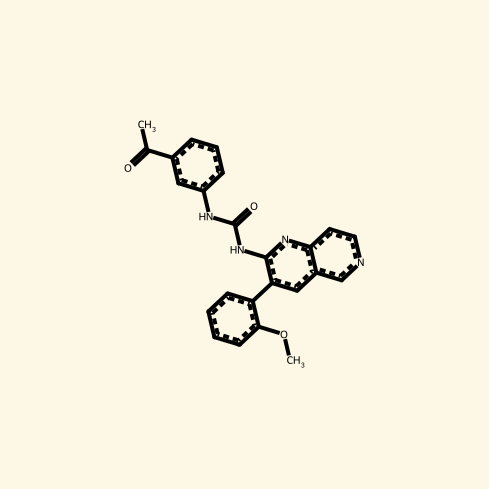 COc1ccccc1-c1cc2cnccc2nc1NC(=O)Nc1cccc(C(C)=O)c1